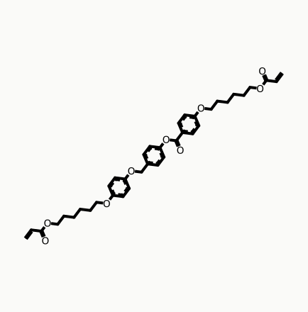 C=CC(=O)OCCCCCCOc1ccc(OCc2ccc(OC(=O)c3ccc(OCCCCCCOC(=O)C=C)cc3)cc2)cc1